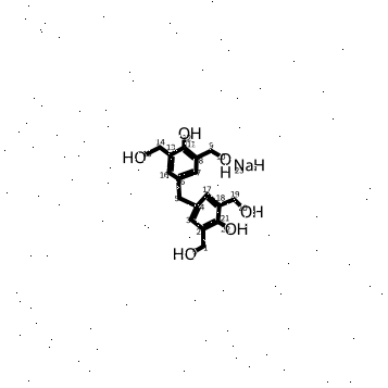 OCc1cc(Cc2cc(CO)c(O)c(CO)c2)cc(CO)c1O.[NaH]